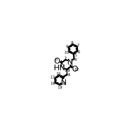 O=C1CN(Cc2ccccc2)C(=O)[C@@H](Cc2ccccn2)N1